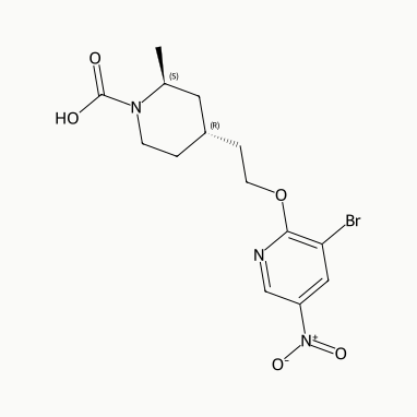 C[C@H]1C[C@H](CCOc2ncc([N+](=O)[O-])cc2Br)CCN1C(=O)O